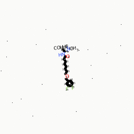 CN(C)C[C@@H](CC(=O)O)NC(=O)CCCCCCCOCc1ccc(F)c(F)c1